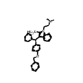 CN(C)CCn1c(C(=O)O)c(C(c2ccccc2)c2ccc(OCc3ccccc3)cc2)c2ccccc21